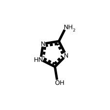 Nc1n[nH]c(O)n1